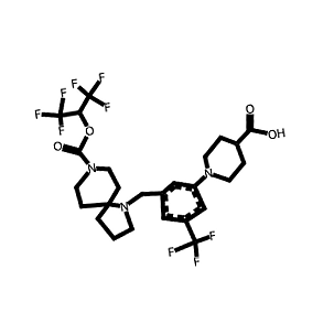 O=C(O)C1CCN(c2cc(CN3CCCC34CCN(C(=O)OC(C(F)(F)F)C(F)(F)F)CC4)cc(C(F)(F)F)c2)CC1